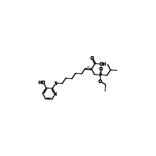 CCOP(=O)(C/C(=C\CCCCCSc1ncccc1O)C(=O)O)CC(C)C